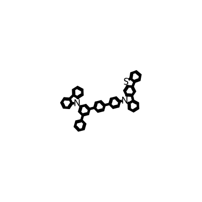 c1ccc(-c2cc(-c3ccc(-c4ccc(-n5c6ccccc6c6cc7c(cc65)sc5ccccc57)cc4)cc3)cc(-n3c4ccccc4c4ccccc43)c2)cc1